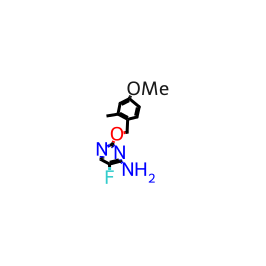 COc1ccc(COc2ncc(F)c(N)n2)c(C)c1